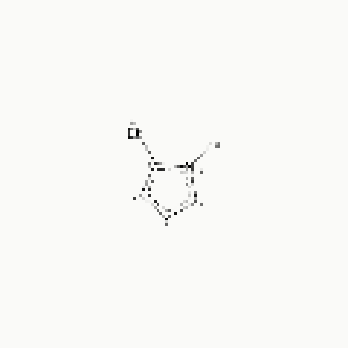 [CH2]Cc1cccn1C